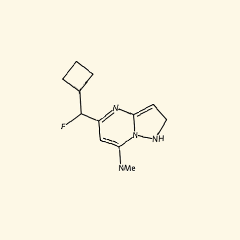 CNC1=CC(C(F)C2CCC2)=NC2=CCNN21